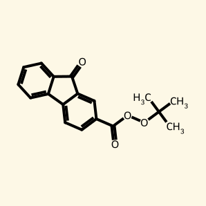 CC(C)(C)OOC(=O)c1ccc2c(c1)C(=O)c1ccccc1-2